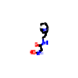 O=C(/C=N\O)NCCN1C2CCC1CC2